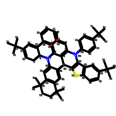 Cc1cc2c3c(c1)N(C1CC=C(C(C)(C)C)C=C1c1ccccc1)c1cc4c(cc1B3c1sc3ccc(C(C)(C)C)cc3c1N2c1ccc(C(C)(C)C)cc1)C(C)(C)CCC4(C)C